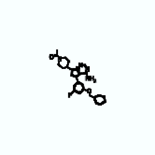 CC(=O)N1CCC(c2cc(-c3cc(F)cc(OCc4ccccc4)c3)c3c(N)ncnn23)CC1